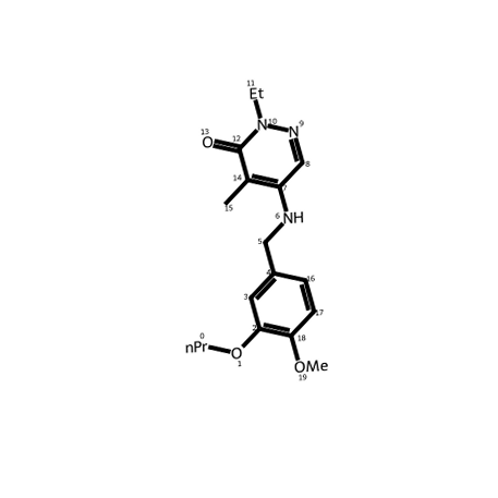 CCCOc1cc(CNc2cnn(CC)c(=O)c2C)ccc1OC